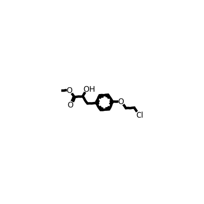 COC(=O)C(O)Cc1ccc(OCCCl)cc1